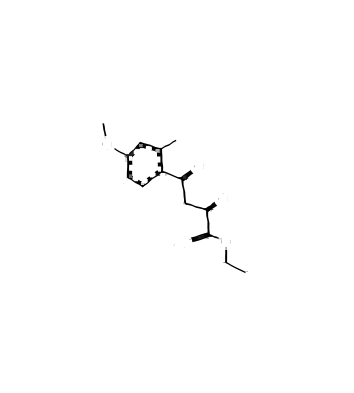 CCOC(=O)C(=O)CC(=O)c1ccc(OC)cc1C